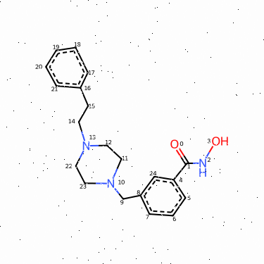 O=C(NO)c1cccc(CN2CCN(CCc3ccccc3)CC2)c1